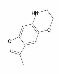 Cc1coc2cc3c(cc12)OCCN3